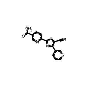 N#Cc1sc(-c2ccc(C(N)=O)cn2)nc1-c1cccnc1